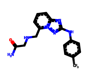 NC(=O)CNCc1cccc2nc(Nc3ccc(C(F)(F)F)cc3)nn12